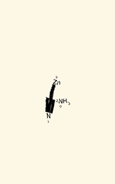 N.N#[C][Zn]